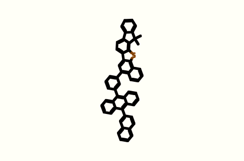 CC1(C)c2ccccc2-c2ccc3c(sc4c5ccccc5c(-c5cccc(-c6c7ccccc7c(-c7ccc8ccccc8c7)c7ccccc67)c5)cc34)c21